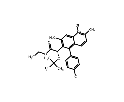 CCOC(=O)[C@@H](OC(C)(C)C)c1c(C)cc2c(ccc(C)[n+]2O)c1-c1ccc(Cl)cc1